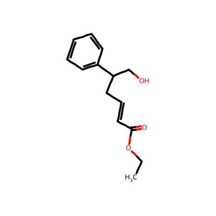 CCOC(=O)/C=C/CC(CO)c1ccccc1